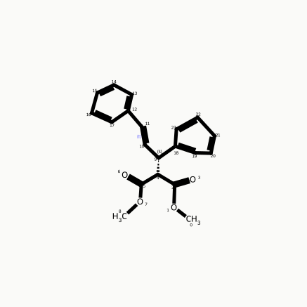 COC(=O)C(C(=O)OC)[C@H](/C=C/c1ccccc1)c1ccccc1